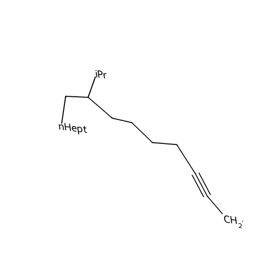 [CH2]C#CCCCCC(CCCCCCC[CH2])C(C)C